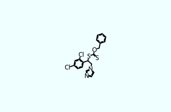 S=C(OCc1ccccc1)SC(Cn1ccnc1)c1ccc(Cl)cc1Cl